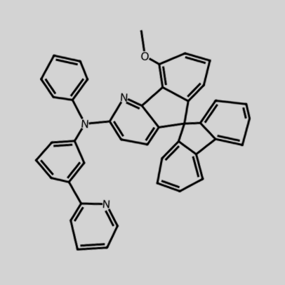 COc1cccc2c1-c1nc(N(c3ccccc3)c3cccc(-c4ccccn4)c3)ccc1C21c2ccccc2-c2ccccc21